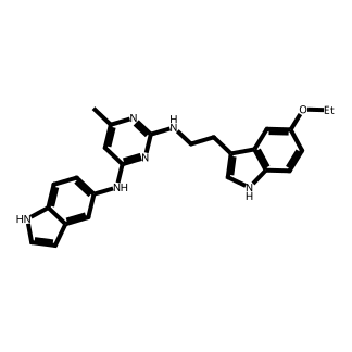 CCOc1ccc2[nH]cc(CCNc3nc(C)cc(Nc4ccc5[nH]ccc5c4)n3)c2c1